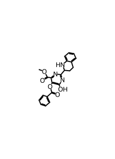 COC(=O)c1nc(C2CCc3ccccc3N2)nc(O)c1OC(=O)c1ccccc1